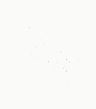 c1ccc(-c2cc(-c3ccccc3)nc(-c3c4ccccc4c(-c4cccc5c4ccc4cc6ccccc6cc45)c4ccccc34)n2)cc1